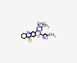 Cc1cc(C(=O)N2CC(C)N(C=O)CC2c2ccc3c(Cl)c4c(nc3c2)CCCC4)no1